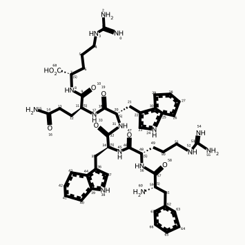 N=C(N)NCCC[C@H](NC(=O)[C@H](CCC(N)=O)NC(=O)[C@H](Cc1c[nH]c2ccccc12)NC(=O)[C@H](Cc1c[nH]c2ccccc12)NC(=O)[C@H](CCCNC(=N)N)NC(=O)[C@@H](N)Cc1ccccc1)C(=O)O